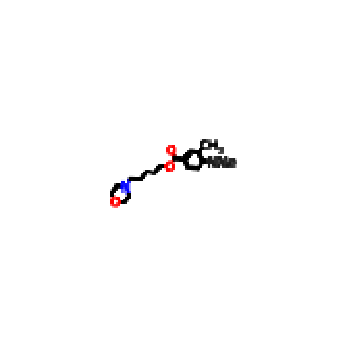 CNc1ccc(C(=O)OCCCCCN2CCOCC2)cc1C